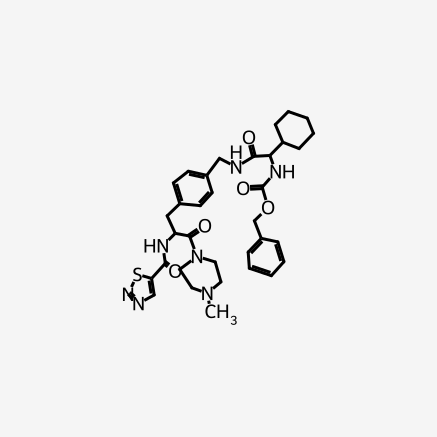 CN1CCN(C(=O)C(Cc2ccc(CNC(=O)C(NC(=O)OCc3ccccc3)C3CCCCC3)cc2)NC(=O)c2cnns2)CC1